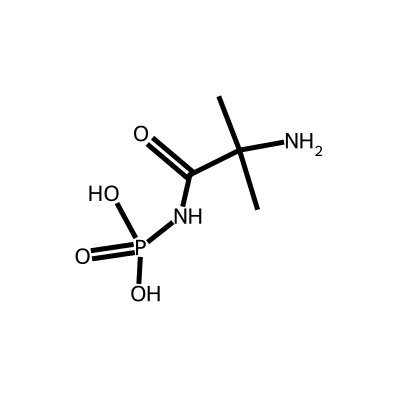 CC(C)(N)C(=O)NP(=O)(O)O